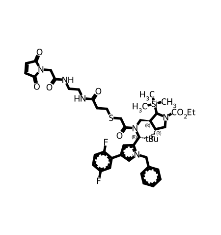 CCOC(=O)N1C[C@H](F)[C@@H](CN(C(=O)CSCCC(=O)NCCNC(=O)CN2C(=O)C=CC2=O)[C@@H](c2cc(-c3cc(F)ccc3F)cn2Cc2ccccc2)C(C)(C)C)C1[Si](C)(C)C